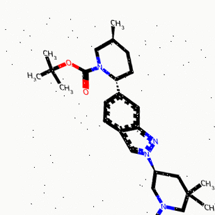 C[C@H]1CC[C@H](c2ccc3cn([C@@H]4CN(C)CC(C)(C)C4)nc3c2)N(C(=O)OC(C)(C)C)C1